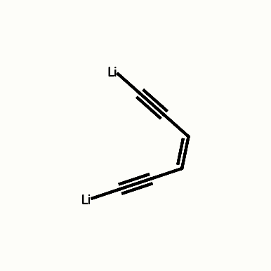 [Li][C]#C/C=C\C#[C][Li]